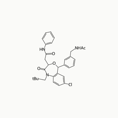 CC(=O)NCc1cccc(C2OC(CC(=O)Nc3ccccc3)C(=O)N(CC(C)(C)C)c3ccc(Cl)cc32)c1